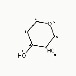 Cl.OC1CCOCC1